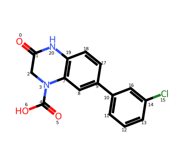 O=C1CN(C(=O)O)c2cc(-c3cccc(Cl)c3)ccc2N1